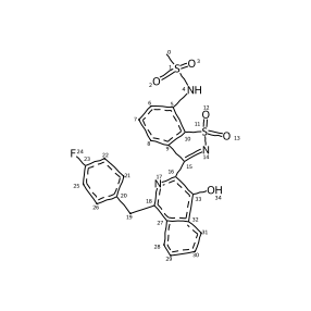 CS(=O)(=O)Nc1cccc2c1S(=O)(=O)N=C2c1nc(Cc2ccc(F)cc2)c2ccccc2c1O